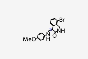 COc1ccc(N/C=C2\C(=O)NCc3c(Br)cccc32)cc1